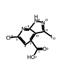 O=C(O)c1cc(Cl)nc2[nH]nc(I)c12